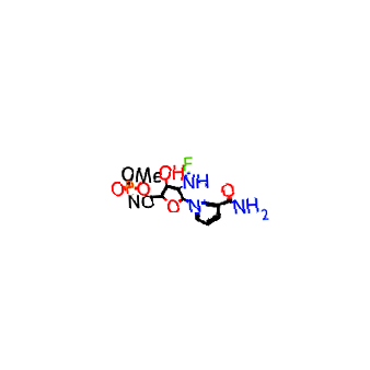 COP(=O)(N=O)OCC1OC([n+]2cccc(C(N)=O)c2)[C@@H](NF)[C@@H]1O